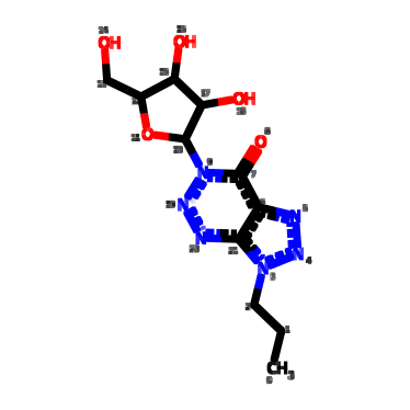 CCCn1nnc2c(=O)n(C3OC(CO)C(O)C3O)nnc21